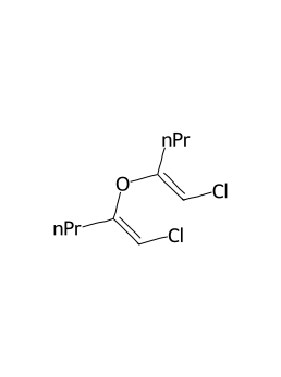 CCCC(=CCl)OC(=CCl)CCC